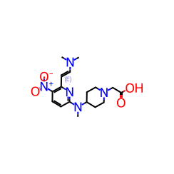 CN(C)/C=C/c1nc(N(C)C2CCN(CC(=O)O)CC2)ccc1[N+](=O)[O-]